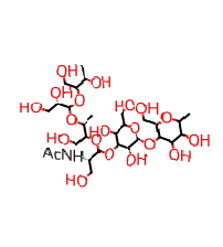 CC(=O)N[C@@H](CO)C(OC1C(O)C(CO)OC(OC2C(CO)OC(C)C(O)C2O)C1O)OC(CO)[C@H](C)OC(OC(CO)[C@@H](C)O)[C@@H](O)CO